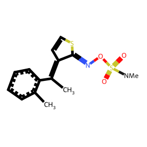 CNS(=O)(=O)O/N=C1\SC=C\C1=C(\C)c1ccccc1C